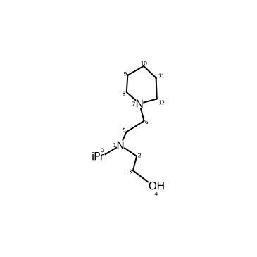 CC(C)N(CCO)CCN1CCCCC1